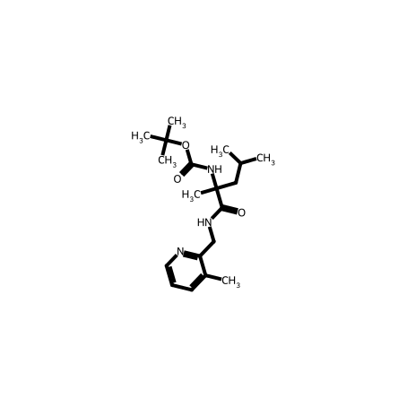 Cc1cccnc1CNC(=O)C(C)(CC(C)C)NC(=O)OC(C)(C)C